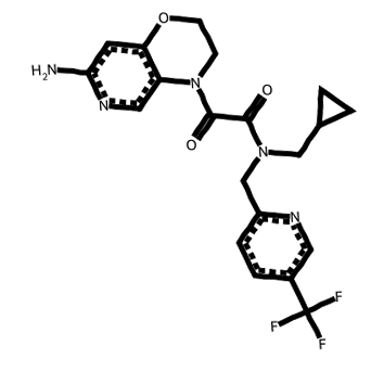 Nc1cc2c(cn1)N(C(=O)C(=O)N(Cc1ccc(C(F)(F)F)cn1)CC1CC1)CCO2